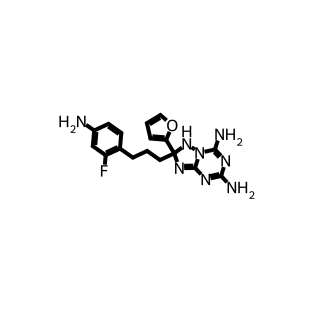 NC1=NC2=NC(CCCc3ccc(N)cc3F)(c3ccco3)NN2C(N)=N1